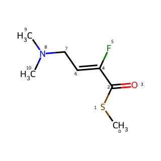 CSC(=O)/C(F)=C/CN(C)C